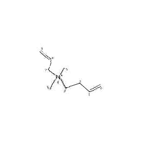 C=CCC[N+](C)(C)CC=C